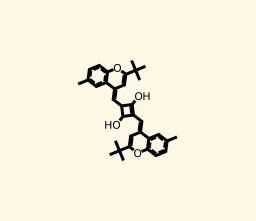 Cc1ccc2c(c1)/C(=C/C1=C(O)C(/C=C3\C=C(C(C)(C)C)Oc4ccc(C)cc43)C1O)C=C(C(C)(C)C)O2